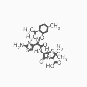 CC(C)[C@H]1CC[C@H](C)C[C@H]1O/N=C(\C(=O)N[C@@H]1C(=O)N2[C@@H]1SC(C)(C)[C@@H]2C(=O)O)c1csc(N)n1